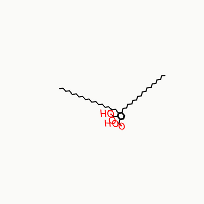 CCCCCCCCCCCCCCCCCCc1ccc(C(=O)O)c(C(=O)O)c1CCCCCCCCCCCCCCCCCC